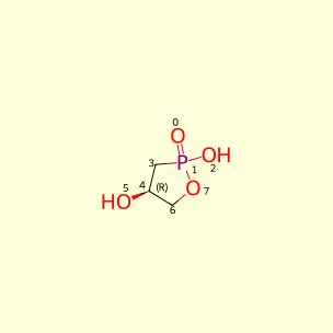 O=P1(O)C[C@H](O)CO1